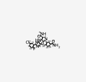 CNC(=O)c1cnccc1Nc1nc(-c2cc(Cl)ccc2F)ncc1OCc1ccc(C(N)=O)cc1